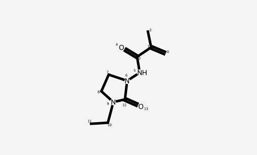 C=C(C)C(=O)NN1CCN(CC)C1=O